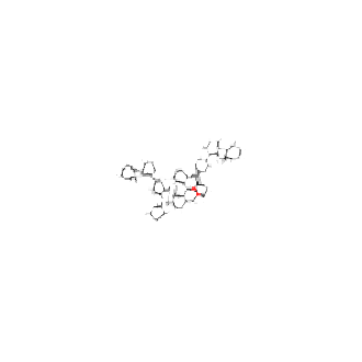 C1=CC(c2cccc3c2oc2ccccc23)CC=C1N(c1ccccc1)c1cccc2c1-c1cccc3ccc(N(c4ccccc4)c4ccc(-c5cccc6c5oc5ccccc56)cc4)c(c13)O2